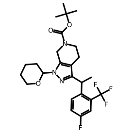 CC(c1ccc(F)cc1C(F)(F)F)c1nn(C2CCCCO2)c2c1CCN(C(=O)OC(C)(C)C)C2